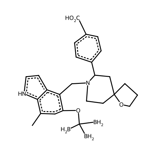 BC(B)(B)Oc1cc(C)c2[nH]ccc2c1CN1CCC2(CCCO2)CC1c1ccc(C(=O)O)cc1